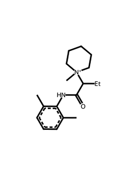 CCC(C(=O)Nc1c(C)cccc1C)[N+]1(C)CCCCC1